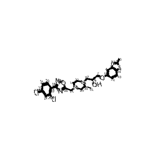 Cc1nc2cc(OC[C@H](O)CN3CCN(Cc4nc(-c5ccc(Cl)cc5Cl)no4)C[C@@H]3C)ccc2s1